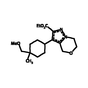 CCOC(=O)c1nn2c(c1C1CCC(C)(COC)CC1)COCC2